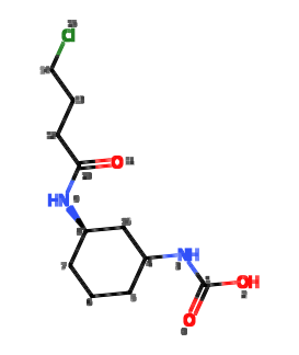 O=C(O)NC1CCC[C@@H](NC(=O)CCCCl)C1